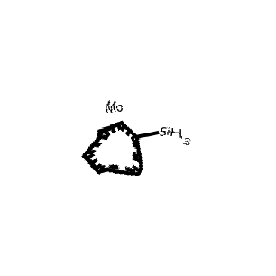 [Mo].[SiH3]c1ccccc1